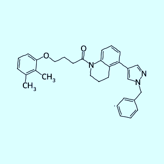 Cc1cccc(OCCCC(=O)N2CCCc3c(-c4cnn(Cc5c[c]ccc5)c4)cccc32)c1C